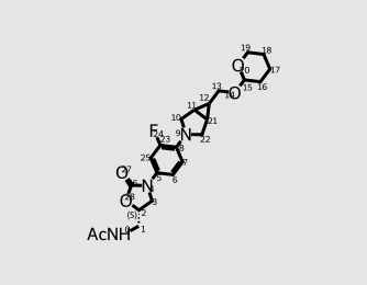 CC(=O)NC[C@H]1CN(c2ccc(N3CC4C(COC5CCCCO5)C4C3)c(F)c2)C(=O)O1